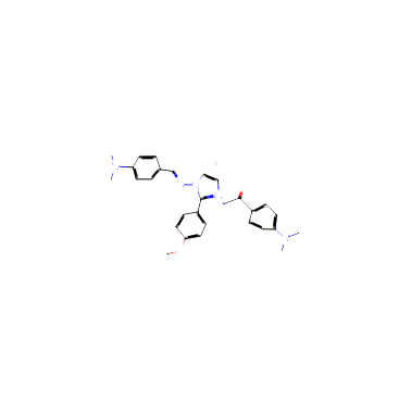 COc1ccc(-c2n(/N=C/c3ccc(N(C)C)cc3)cc[n+]2CC(=O)c2ccc(N(C)C)cc2)cc1.[Br-]